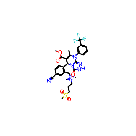 COC(=O)C1=C(C)N(c2cccc(C(F)(F)F)c2)c2n[nH]c(=O)n2C1c1ccc(C#N)cc1C[N+](C)(C)CCCS(C)(=O)=O